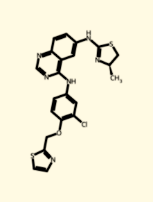 C[C@@H]1CSC(Nc2ccc3ncnc(Nc4ccc(OCc5nccs5)c(Cl)c4)c3c2)=N1